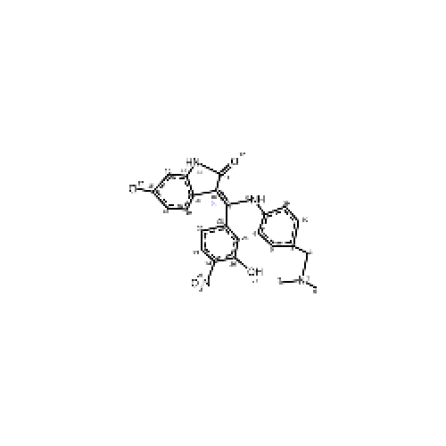 CN(C)Cc1ccc(N/C(=C2\C(=O)Nc3cc(Cl)ccc32)c2ccc([N+](=O)[O-])c(O)c2)cc1